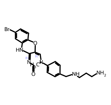 CN(/C=C1/Oc2ccc(Br)cc2N/C1=N/C=O)c1ccc(CNCCCN)cc1